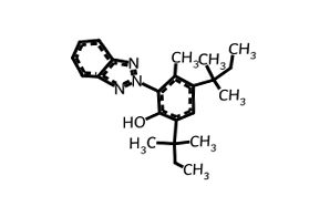 CCC(C)(C)c1cc(C(C)(C)CC)c(O)c(-n2nc3ccccc3n2)c1C